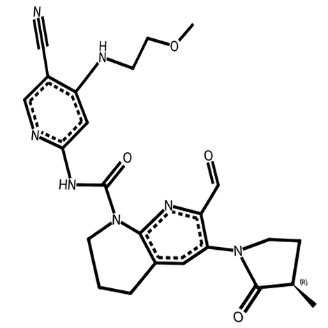 COCCNc1cc(NC(=O)N2CCCc3cc(N4CC[C@@H](C)C4=O)c(C=O)nc32)ncc1C#N